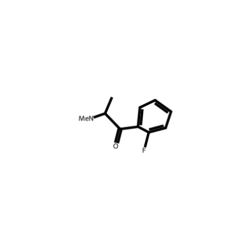 CNC(C)C(=O)c1ccccc1F